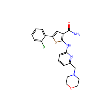 NC(=O)c1cc(-c2ccccc2F)sc1Nc1cccc(CN2CCOCC2)n1